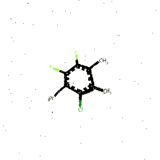 Cc1c(C)c(Cl)c(C(C)C)c(F)c1F